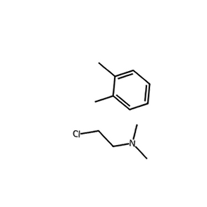 CN(C)CCCl.Cc1ccccc1C